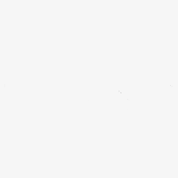 CCCC#CCOc1cccc(CNC(=O)c2ccc3ncccc3c2)c1F